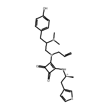 C=CCN(CC(Cc1ccc(O)cc1)N(C)C)c1c(N[C@@H](C)Cc2ccsc2)c(=O)c1=O